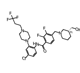 O=C(Nc1ccc(Cl)cc1N1CCN(CCC(F)(F)F)CC1)c1ccc(CN2CCC[C@@H](CO)C2)c(F)c1F